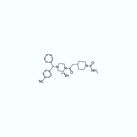 CC(C)[C@H]1CN(C(c2ccccc2)c2ccc(C#N)cc2)CCN1C(=O)CC1CCN(C(N)=O)CC1